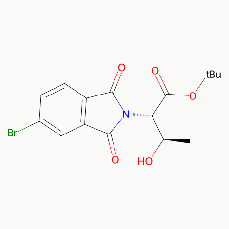 C[C@@H](O)[C@@H](C(=O)OC(C)(C)C)N1C(=O)c2ccc(Br)cc2C1=O